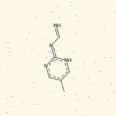 Cc1cn/c(=N/C=N)[nH]c1